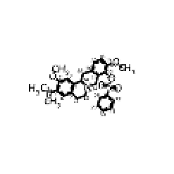 COc1cc2c(cc1N(C)C)CCN1Cc3c(ccc(OC)c3OS(=O)(=O)c3ccccc3)CC21